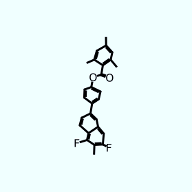 Cc1cc(C)c(C(=O)Oc2ccc(-c3ccc4c(F)c(C)c(F)cc4c3)cc2)c(C)c1